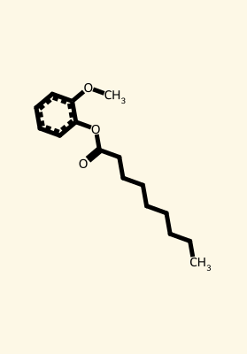 CCCCCCCCC(=O)Oc1ccccc1OC